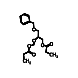 CCC(=O)OCOC(COCc1ccccc1)COC(=O)CC